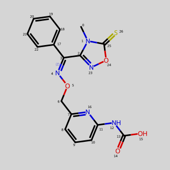 Cn1c(/C(=N\OCc2cccc(NC(=O)O)n2)c2ccccc2)noc1=S